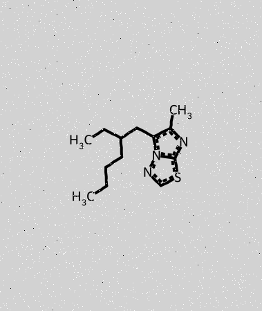 CCCCC(CC)Cc1c(C)nc2scnn12